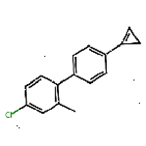 Cc1cc(Cl)ccc1-c1ccc(C2=CC2)cc1